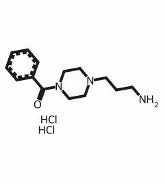 Cl.Cl.NCCCN1CCN(C(=O)c2ccccc2)CC1